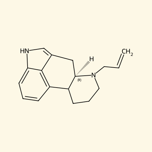 C=CCN1CCCC2c3cccc4[nH]cc(c34)C[C@H]21